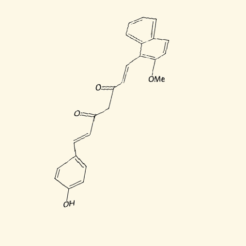 COc1ccc2ccccc2c1/C=C/C(=O)CC(=O)/C=C/c1ccc(O)cc1